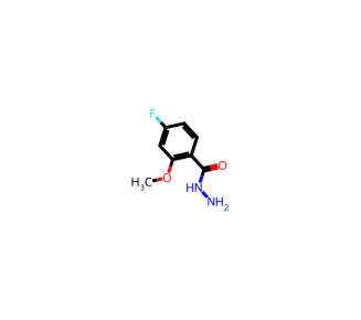 COc1cc(F)ccc1C(=O)NN